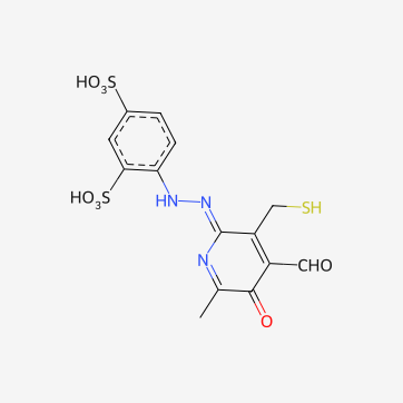 CC1=N/C(=N\Nc2ccc(S(=O)(=O)O)cc2S(=O)(=O)O)C(CS)=C(C=O)C1=O